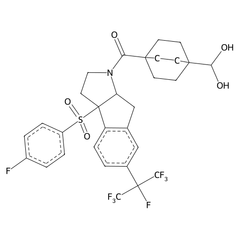 O=C(N1CCC2(S(=O)(=O)c3ccc(F)cc3)c3ccc(C(F)(C(F)(F)F)C(F)(F)F)cc3CC12)C12CCC(C(O)O)(CC1)CC2